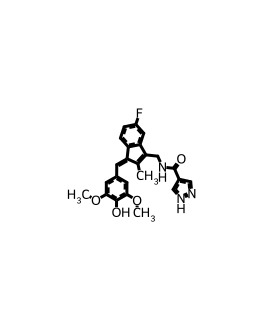 COc1cc(C=C2C(C)=C(CNC(=O)c3cn[nH]c3)c3cc(F)ccc32)cc(OC)c1O